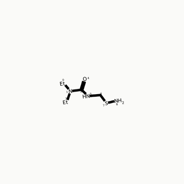 CCN(CC)C(=O)NCSN